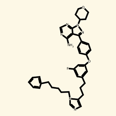 Nc1ncnc2c1c(-c1ccc(Oc3cc(F)cc(CCCc4cncn4CCCCCc4ccccc4)c3)cc1)nn2C1CCOCC1